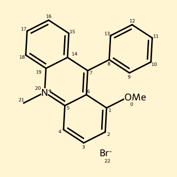 COc1cccc2c1c(-c1ccccc1)c1ccccc1[n+]2C.[Br-]